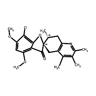 COc1cc(OC)c2c(c1Cl)O[C@@]1(Cc3c(nc(C)c(C)c3C)C[C@H]1C)C2=O